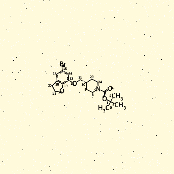 CC(C)(C)OC(=O)N1CCC(COc2cc(Br)cc3c2OCC3)CC1